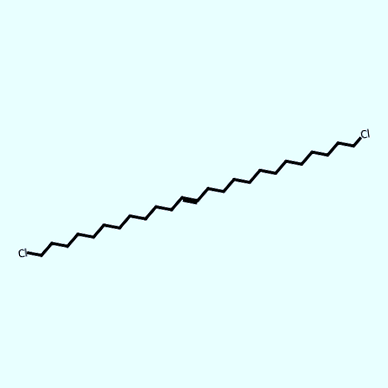 ClCCCCCCCCCCCC=CCCCCCCCCCCCCCl